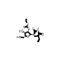 C=Cc1cn([C@@H]2O[C@H](CO)[C@@H](O)[C@H]2OC(=O)OCC)c(=O)[nH]c1=O